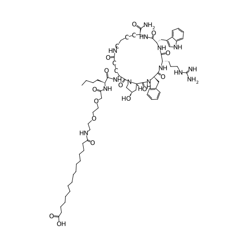 CCCC[C@H](NC(=O)COCCOCCNC(=O)CCCCCCCCCCCCCCC(=O)O)C(=O)N[C@H]1CCC(=O)NCCCC[C@@H](C(N)=O)NC(=O)[C@H](Cc2c[nH]c3ccccc23)NC(=O)[C@H](CCCNC(=N)N)NC(=O)[C@@H](Cc2ccccc2)NC(=O)[C@@H]2C[C@@H](O)CN2C1=O